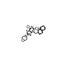 Cc1nc(=O)c2sc(N3CCOCC3)nc2n1Cc1ccc2ccccc2c1